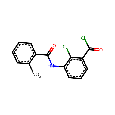 O=C(Nc1cccc(C(=O)Cl)c1Cl)c1ccccc1[N+](=O)[O-]